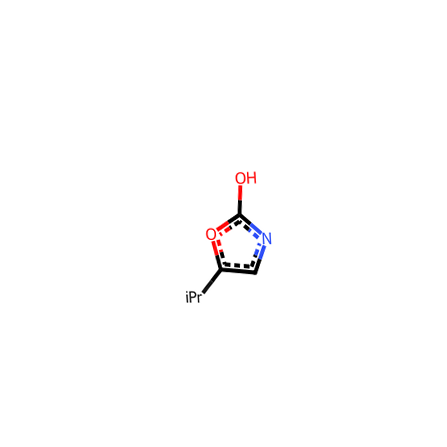 CC(C)c1cnc(O)o1